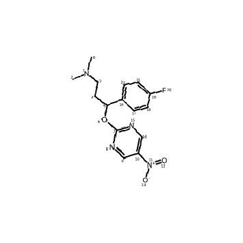 CN(C)CCC(Oc1ncc([N+](=O)[O-])cn1)c1ccc(F)cc1